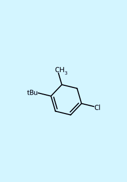 CC1CC(Cl)=CC=C1C(C)(C)C